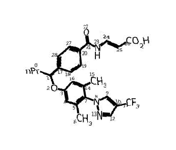 CCCC(Oc1cc(C)c(-n2cc(C(F)(F)F)cn2)c(C)c1)c1ccc(C(=O)NC=CC(=O)O)cc1